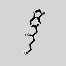 NCCCC(O)Cc1ncc2nc[nH]c2n1